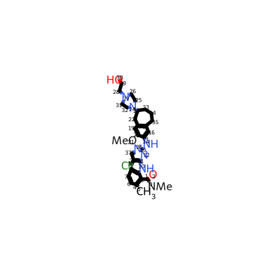 CNC(=O)c1c(C)cccc1Nc1nc(Nc2cc3c(cc2OC)CC(N2CCN(CCO)CC2)CCC3)ncc1Cl